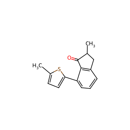 Cc1ccc(-c2cccc3c2C(=O)C(C)C3)s1